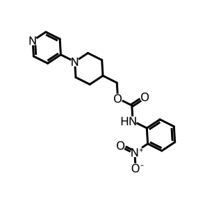 O=C(Nc1ccccc1[N+](=O)[O-])OCC1CCN(c2ccncc2)CC1